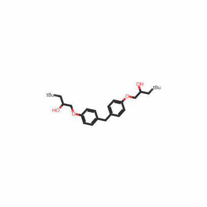 CC(C)(C)CC(O)COc1ccc(Cc2ccc(OCC(O)CC(C)(C)C)cc2)cc1